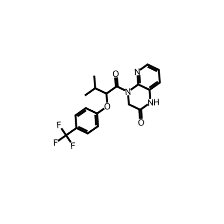 CC(C)C(Oc1ccc(C(F)(F)F)cc1)C(=O)N1CC(=O)Nc2cccnc21